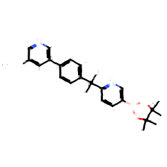 COc1cncc(-c2ccc(C(C)(c3ccc(B4OC(C)(C)C(C)(C)O4)cn3)C(C)C)cc2)c1